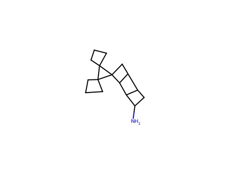 NC1CC2C3CC4(C3C12)C1(CCC1)C41CCC1